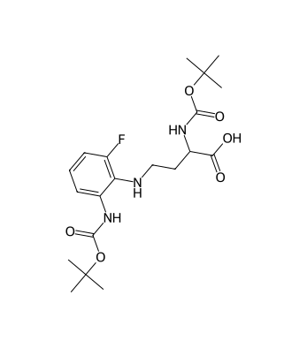 CC(C)(C)OC(=O)Nc1cccc(F)c1NCCC(NC(=O)OC(C)(C)C)C(=O)O